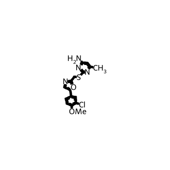 COc1ccc(-c2cnc(CSc3nc(C)cc(N)n3)o2)cc1Cl